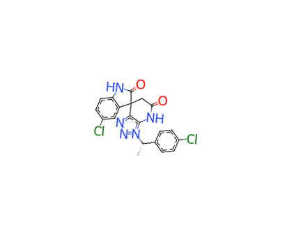 C[C@@H](c1ccc(Cl)cc1)n1nnc2c1NC(=O)CC21C(=O)Nc2ccc(Cl)cc21